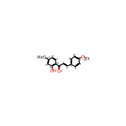 CCOc1ccc(C=CC(=O)c2ccc(OC)cc2O)cc1